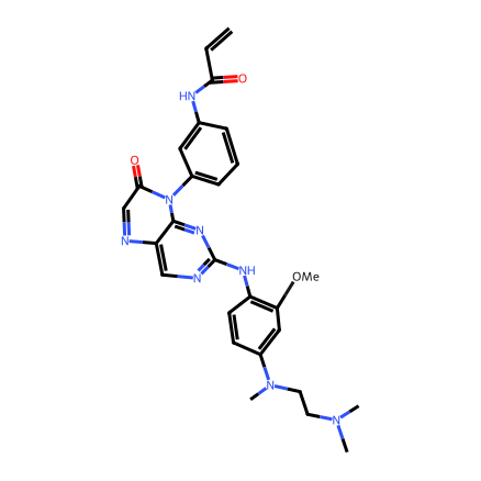 C=CC(=O)Nc1cccc(-n2c(=O)cnc3cnc(Nc4ccc(N(C)CCN(C)C)cc4OC)nc32)c1